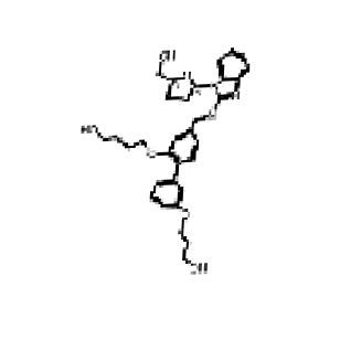 OCCCCOc1cc(CNc2nc3ccccc3n2[C@H]2CC[C@@H](CO)O2)ccc1-c1cccc(OCCCO)c1